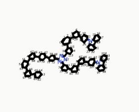 C1#CCC(c2cccc(-c3ccc(-n4c5ccccc5c5ccccc54)cc3)c2)=CC(C2=CC(c3nc(C4=CCC(C5=CCC(c6cccc(-c7cccc(-c8cccc(-c9ccccc9)c8)c7)c6)C=C5)C=C4)nc(-c4cccc(-c5cccc(-c6cccc(C7C=CC(n8c9ccccc9c9ccccc98)=CC7)c6)c5)c4)n3)CC=C2)=C1